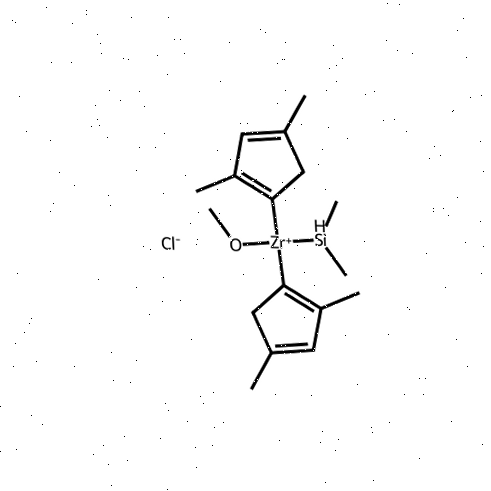 C[O][Zr+]([C]1=C(C)C=C(C)C1)([C]1=C(C)C=C(C)C1)[SiH](C)C.[Cl-]